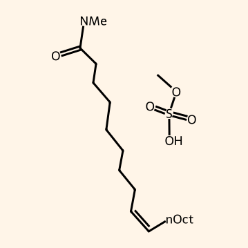 CCCCCCCC/C=C\CCCCCCCC(=O)NC.COS(=O)(=O)O